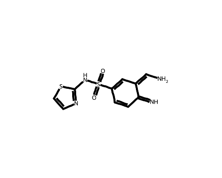 N=C1C=CC(S(=O)(=O)Nc2nccs2)=C/C1=C/N